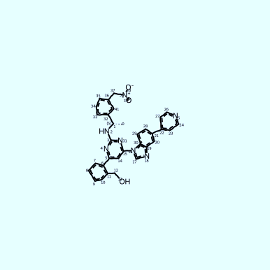 C[C@H](Nc1nc(-c2ccccc2CO)cc(-n2cnc3cc(-c4ccncc4)ccc32)n1)c1cccc(C[N+](=O)[O-])c1